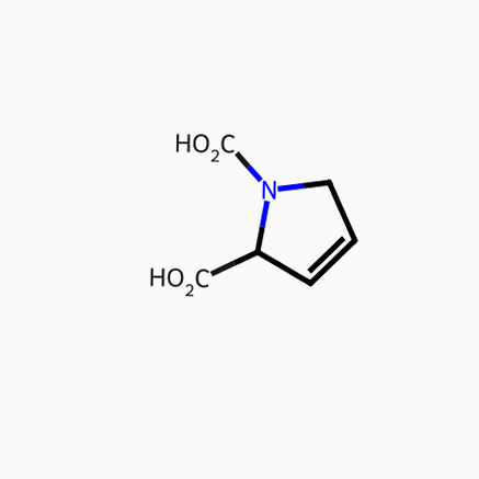 O=C(O)C1C=CCN1C(=O)O